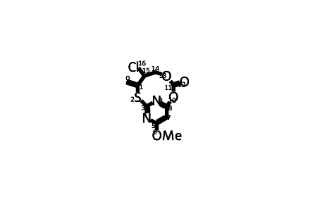 C=C1Sc2nc(OC)cc(n2)OC(=O)OCC1Cl